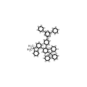 CC1(C)c2ccccc2-c2c(-c3ccc4c(c3-c3ccc(-c5nc(-c6ccccc6)nc(-c6ccccc6)n5)cc3)-c3ccccc3C4(c3ccccc3)c3ccccc3)cccc21